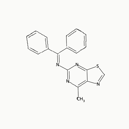 Cc1nc(N=C(c2ccccc2)c2ccccc2)nc2scnc12